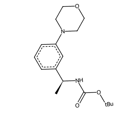 C[C@H](NC(=O)OC(C)(C)C)c1cccc(N2CCOCC2)c1